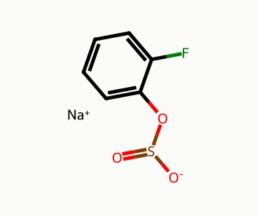 O=S([O-])Oc1ccccc1F.[Na+]